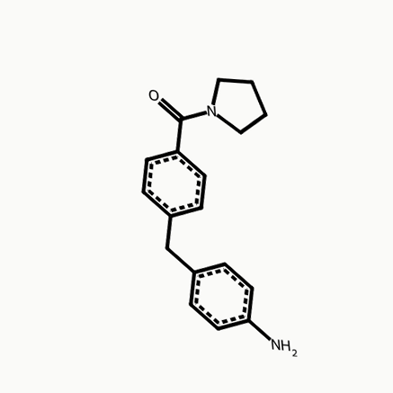 Nc1ccc(Cc2ccc(C(=O)N3CCCC3)cc2)cc1